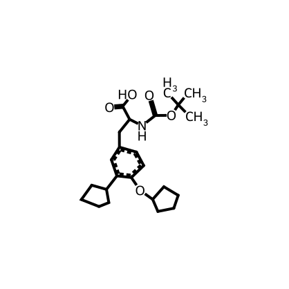 CC(C)(C)OC(=O)NC(Cc1ccc(OC2CCCC2)c(C2CCCC2)c1)C(=O)O